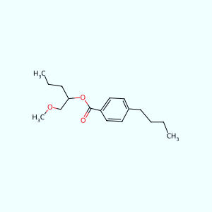 CCCCc1ccc(C(=O)OC(CCC)COC)cc1